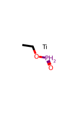 CCO[PH2]=O.[Ti]